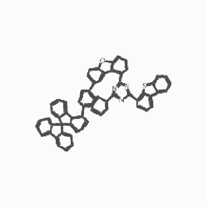 c1ccc(-c2nc(-c3cccc4c3sc3ccccc34)nc(-c3cccc4oc5ccc(-c6ccc(-c7cccc8c7-c7ccccc7C87c8ccccc8-c8ccccc87)cc6)cc5c34)n2)cc1